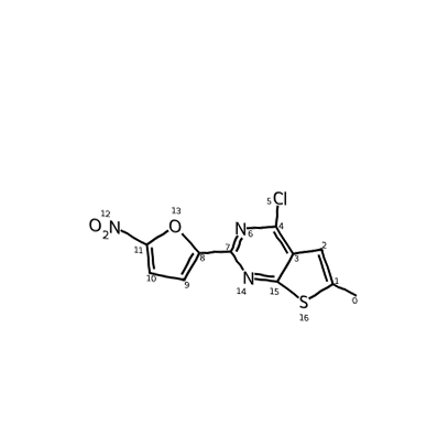 Cc1cc2c(Cl)nc(-c3ccc([N+](=O)[O-])o3)nc2s1